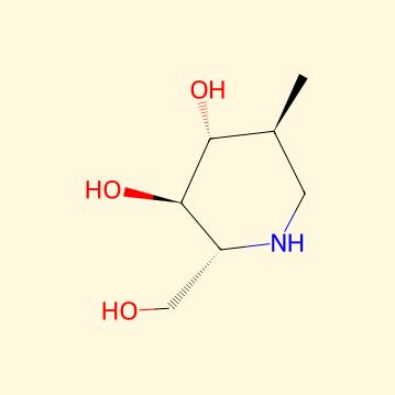 C[C@H]1CN[C@H](CO)[C@@H](O)[C@@H]1O